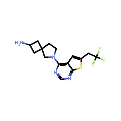 NC1CC2(CCN(c3ncnc4sc(CC(F)(F)F)cc34)C2)C1